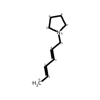 [CH2]/C=C/C=C/CN1CCCC1